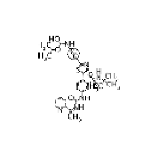 CC(C)OC(O)NC12CCC(c3ncc(-c4ccc(NC(=O)N[C@@H](C)c5ccccn5)cc4S(=O)(=O)NC(C)(C)C)s3)(CC1)CC2